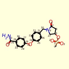 CS(=O)(=O)OC1CC(=O)N(Cc2ccc(Oc3ccc(C(N)=O)cc3)cc2)C1